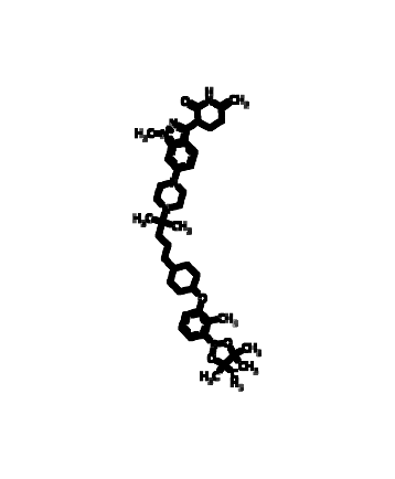 C=C1CCC(c2nn(C)c3cc(N4CCN(C(C)(C)CCCC5CCC(Oc6cccc(B7OC(C)(C)C(C)(C)O7)c6C)CC5)CC4)ccc23)C(=O)N1